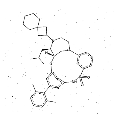 Cc1cccc(C)c1-c1cc2nc(n1)NS(=O)(=O)c1cccc(c1)C1CCN(C3CC4(CCCCC4)C3)[C@H](CC(C)C)[C@H](C1)O2